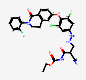 CCOC(=O)NC(=O)C(C#N)CNNc1cc(Cl)c(Oc2ccc3c(c2)CCN(c2ccccc2F)C3=O)c(Cl)c1